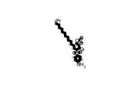 CC(C)CCCCCCCCCCCCCC(C(=O)C1C[O][Ti](=[O])[O]1)S(=O)(=O)c1ccc(N)cc1